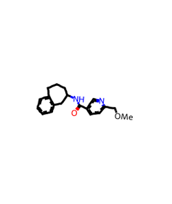 COCc1ccc(C(=O)NC2CCCc3ccccc3C2)cn1